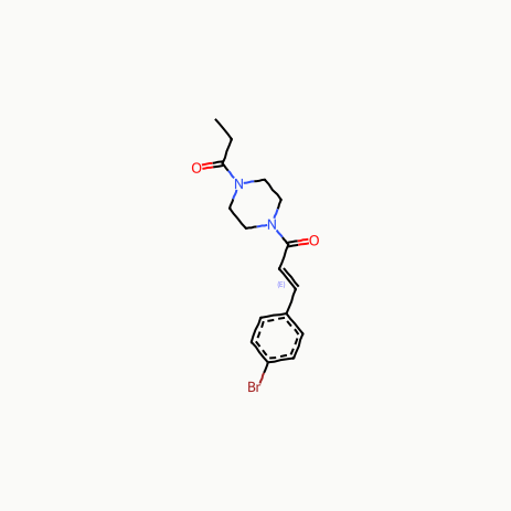 CCC(=O)N1CCN(C(=O)/C=C/c2ccc(Br)cc2)CC1